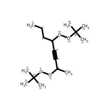 CCCC(C#CC(C)OOC(C)(C)C)OOC(C)(C)C